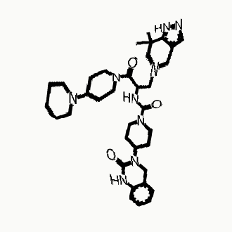 CC1(C)CN(CC(NC(=O)N2CCC(N3Cc4ccccc4NC3=O)CC2)C(=O)N2CCC(N3CCCCC3)CC2)Cc2cn[nH]c21